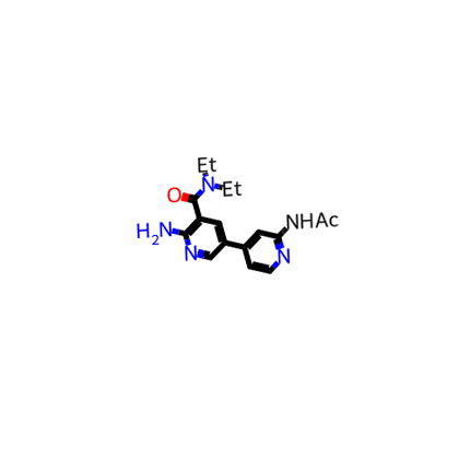 CCN(CC)C(=O)c1cc(-c2ccnc(NC(C)=O)c2)cnc1N